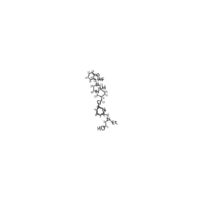 CCN(CCO)Cc1cccc(OC[C@@H]2CC[C@H]3CN(C4=C5CC=CC=C5ON4F)CCN3C2)n1